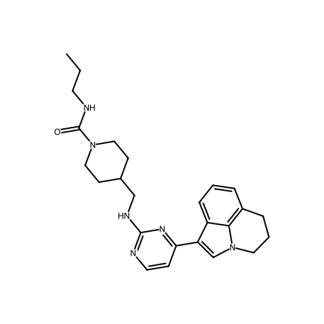 CCCNC(=O)N1CCC(CNc2nccc(-c3cn4c5c(cccc35)CCC4)n2)CC1